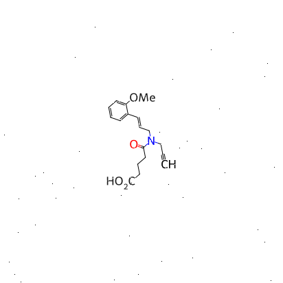 C#CCN(C/C=C/c1ccccc1OC)C(=O)CCCC(=O)O